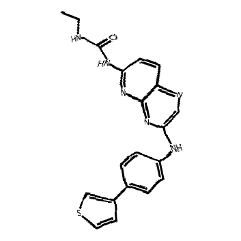 CCNC(=O)Nc1ccc2ncc(Nc3ccc(-c4ccsc4)cc3)nc2n1